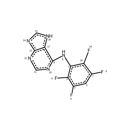 Fc1cc(F)c(F)c(Nc2ncnc3nc[nH]c23)c1F